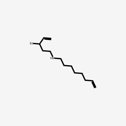 C=CCCCCCCNCCC(C=C)CC